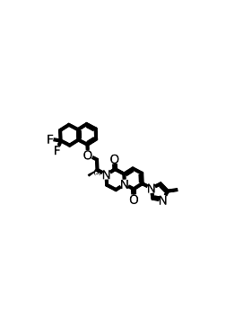 Cc1cn(-c2ccc3n(c2=O)CCN([C@@H](C)COc2cccc4c2CC(F)(F)CC4)C3=O)cn1